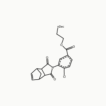 CCCCCCCCCCCCOC(=O)c1ccc(Cl)c(N2C(=O)C3C4C=CC(C4)C3C2=O)c1